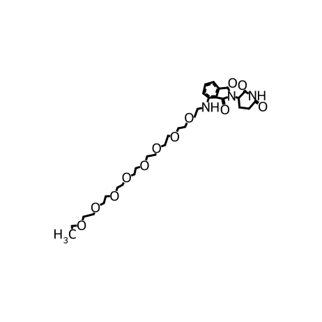 CCOCCOCCOCCOCCOCCOCCOCCOCCNc1cccc2c1C(=O)N(C1CCC(=O)NC1=O)C2=O